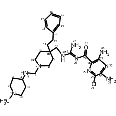 CN1CCC(NCN2CCC(CCc3ccccc3)(CN/C(N)=N/C(=O)c3nc(Cl)c(N)nc3N)CC2)CC1